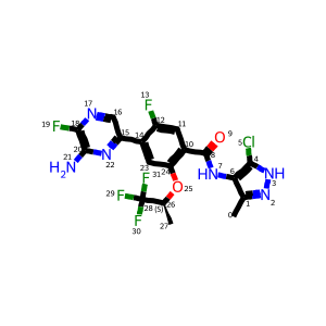 Cc1n[nH]c(Cl)c1NC(=O)c1cc(F)c(-c2cnc(F)c(N)n2)cc1O[C@@H](C)C(F)(F)F